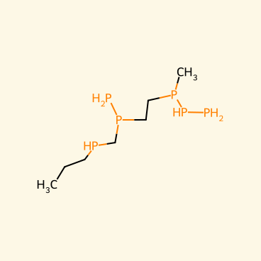 CCCPCP(P)CCP(C)PP